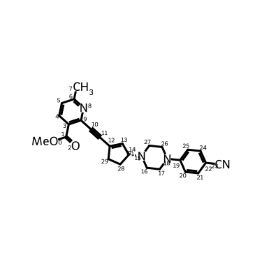 COC(=O)c1ccc(C)nc1C#CC1=C[C@H](N2CCN(c3ccc(C#N)cc3)CC2)CC1